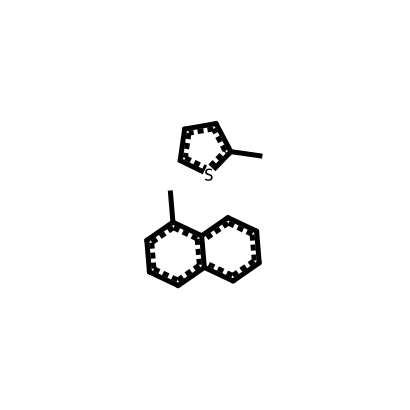 Cc1cccc2ccccc12.Cc1cccs1